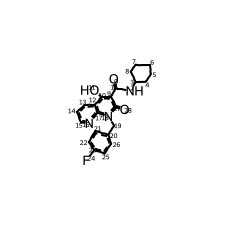 O=C(NC1CCCCC1)c1c(O)c2cccnc2n(Cc2ccc(F)cc2)c1=O